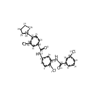 O=C(Nc1ccc(Cl)c(NC(=O)c2cccc(Cl)c2)c1)c1ccc(N2CCCS2)c(Cl)c1